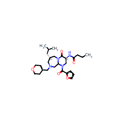 CCCC(=O)N[C@H]1CN(C(=O)c2ccco2)C2CN(CC3CCOCC3)C[C@H](CC(C)C)CN2C1=O